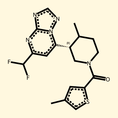 Cc1csc(C(=O)N2CCC(C)[C@@H](c3cc(C(F)F)nc4ncnn34)C2)c1